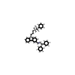 C[Si](C)(CCCn1c2ccccc2c2cc(/C=N/N(c3ccccc3)c3ccccc3)ccc21)[Si](C)(C)c1ccccc1